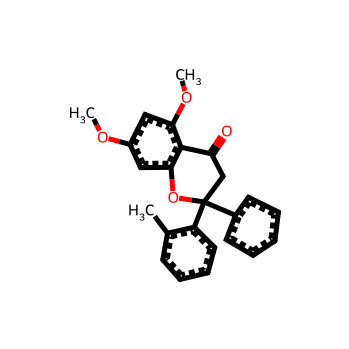 COc1cc(OC)c2c(c1)OC(c1ccccc1)(c1ccccc1C)CC2=O